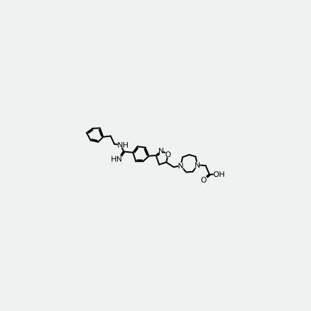 N=C(NCCc1ccccc1)c1ccc(C2=NOC(CN3CCCN(CC(=O)O)CC3)C2)cc1